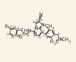 Cc1cc(CN(C)C)ccc1-c1cnc(NCC2Cc3cc(F)ccc3O2)n2cc(C#N)nc12